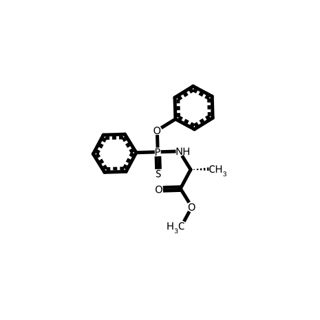 COC(=O)[C@@H](C)NP(=S)(Oc1ccccc1)c1ccccc1